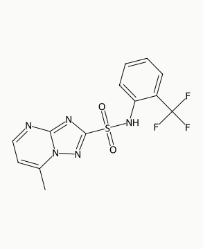 Cc1ccnc2nc(S(=O)(=O)Nc3ccccc3C(F)(F)F)nn12